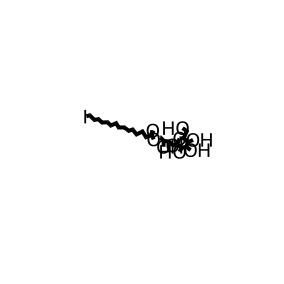 O=C(CCCCCCCCCCCCCCI)OCC(O)COC1OC(CO)C(O)C(O)C1O